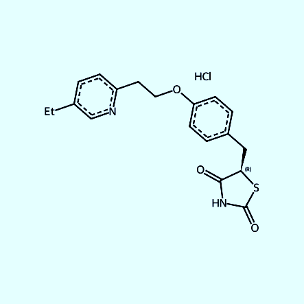 CCc1ccc(CCOc2ccc(C[C@H]3SC(=O)NC3=O)cc2)nc1.Cl